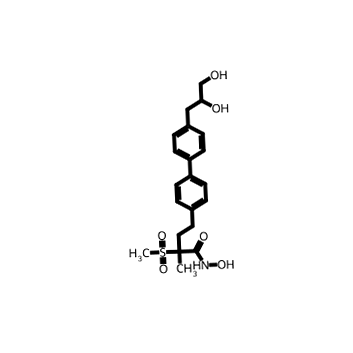 CC(CCc1ccc(-c2ccc(CC(O)CO)cc2)cc1)(C(=O)NO)S(C)(=O)=O